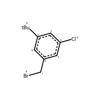 CC(C)(C)c1cc(Cl)cc(CBr)c1